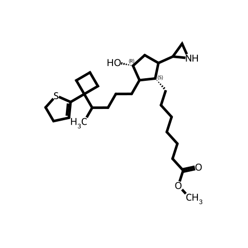 COC(=O)CCCCCC[C@H]1C(C2CN2)C[C@@H](O)C1CCCC(C)C1(C2=CCCS2)CCC1